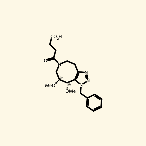 CO[C@H]1CN(C(=O)CCC(=O)O)CCc2nnn(Cc3ccccc3)c2[C@@H]1OC